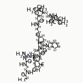 CCC(=O)NCCNC(=O)/N=C(/N)NCCC[C@@H](NC(=O)[C@H](c1ccc(OCCCNC(=O)C[C@H]2C[C@@H](CCNC(=O)OC(C)(C)C)OC(C)(C)O2)cc1)N1Cc2ccccc2C1)C(=O)NCc1c(F)cc(O)cc1F